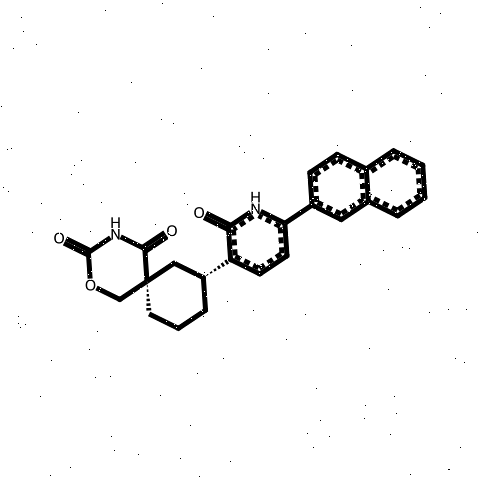 O=C1NC(=O)[C@]2(CCC[C@@H](c3ccc(-c4ccc5ccccc5c4)[nH]c3=O)C2)CO1